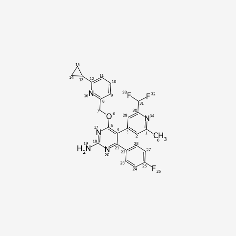 Cc1cc(-c2c(OCc3cccc(C4CC4)n3)nc(N)nc2-c2ccc(F)cc2)cc(C(F)F)n1